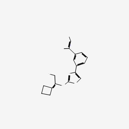 CC/C=C(\CCC)c1cccc(-c2csc(NC(CN)=C3CCC3)n2)c1